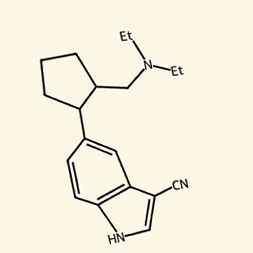 CCN(CC)CC1CCCC1c1ccc2[nH]cc(C#N)c2c1